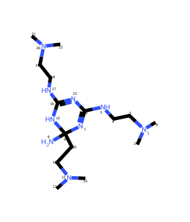 CN(C)CCNC1=NC(N)(CCN(C)C)NC(NCCN(C)C)=N1